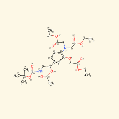 CCOC(=O)COc1cc(C(CNC(=O)OC(C)(C)C)OC(C)=O)ccc1N(CC(=O)OCC)CC(=O)OCC